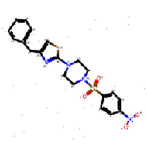 O=[N+]([O-])c1ccc(S(=O)(=O)N2CCN(c3nc(Cc4ccccc4)cs3)CC2)cc1